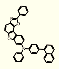 c1ccc(-c2nc3ccc4oc5cc(N(c6ccccc6)c6ccc(-c7cccc8ccccc78)cc6)ccc5c4c3o2)cc1